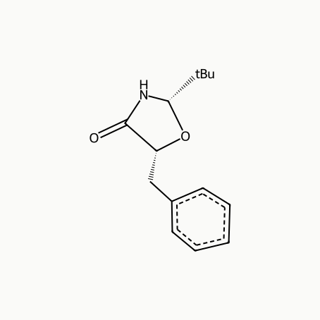 CC(C)(C)[C@H]1NC(=O)[C@@H](Cc2ccccc2)O1